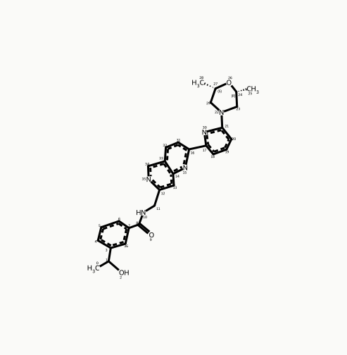 CC(O)c1cccc(C(=O)NCc2cc3nc(-c4cccc(N5C[C@@H](C)O[C@@H](C)C5)n4)ccc3cn2)c1